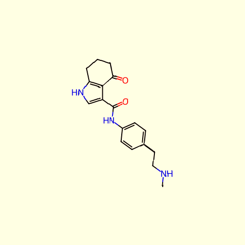 CNCCc1ccc(NC(=O)c2c[nH]c3c2C(=O)CCC3)cc1